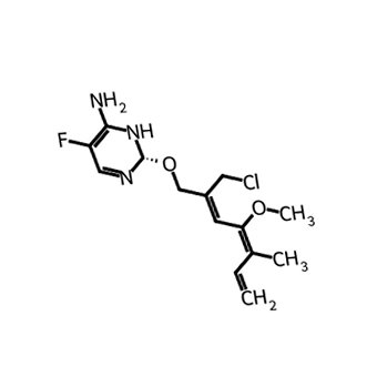 C=C/C(C)=C(\C=C(/CCl)CO[C@@H]1N=CC(F)=C(N)N1)OC